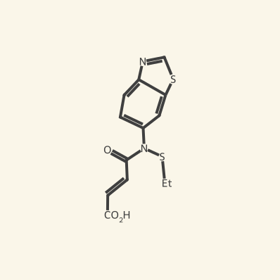 CCSN(C(=O)C=CC(=O)O)c1ccc2ncsc2c1